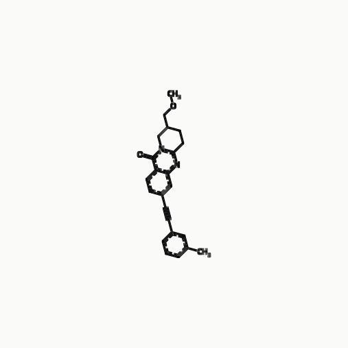 COCC1CCc2nc3cc(C#Cc4cccc(C)c4)ccc3c(=O)n2C1